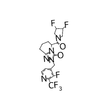 O=C(C1CCCc2nn(Cc3ccnc(C(F)(F)F)c3F)c(=O)n21)N1CC(F)C(F)C1